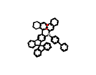 c1ccc(-c2ccc(N(c3ccc4c(c3)CCCC4)c3cc4c(cc3-c3cccc5c3CCCC5)-c3ccccc3C43c4ccccc4-c4ccccc43)cc2)cc1